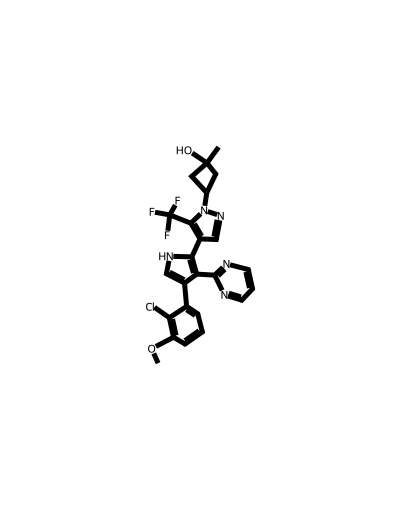 COc1cccc(-c2c[nH]c(-c3cnn(C4CC(C)(O)C4)c3C(F)(F)F)c2-c2ncccn2)c1Cl